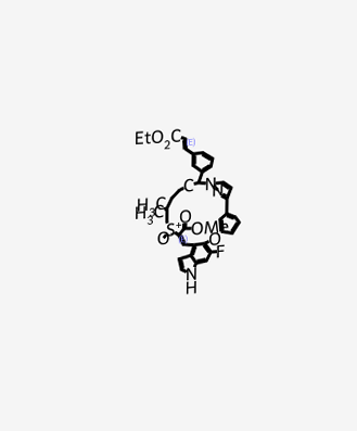 CCOC(=O)/C=C/c1cccc(C2CCCC(C)(C)C[S+]([O-])/C(C(=O)OC)=C/c3c(c(F)cc4[nH]ccc34)Oc3cccc(c3)-c3ccn2n3)c1